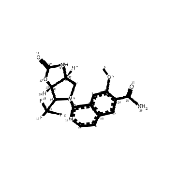 COc1cc2c(N3C[C@H]4NC(=O)O[C@H]4C3C(F)(F)F)nccc2cc1C(N)=O